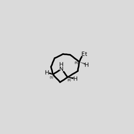 CC[C@@H]1CCCC[C@H]2C[C@@H](C1)N2